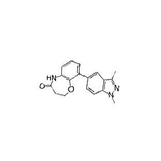 Cc1nn(C)c2ccc(-c3cccc4c3OCCC(=O)N4)cc12